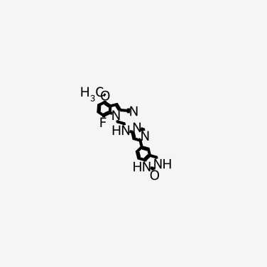 COc1ccc(F)c2c1cc(C#N)n2CCNc1cc(-c2ccc3c(c2)CNC(=O)N3)ncn1